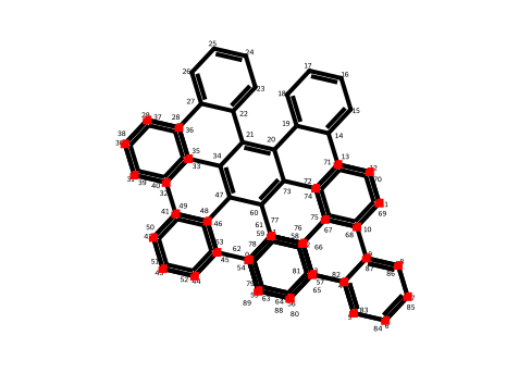 c1ccc(-c2ccccc2-c2ccc3c4ccccc4c4c(-c5ccccc5-c5ccccc5)c(-c5ccccc5-c5ccccc5)c(-c5ccccc5-c5ccccc5)c(-c5ccccc5-c5ccccc5)c4c3c2-c2ccccc2-c2ccccc2)cc1